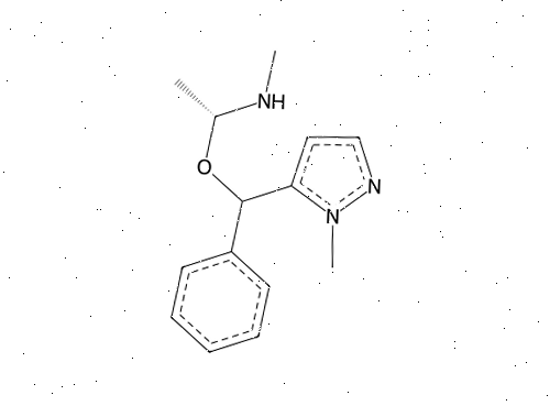 CN[C@@H](C)OC(c1ccccc1)c1ccnn1C